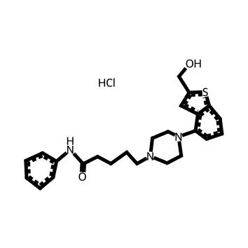 Cl.O=C(CCCCN1CCN(c2cccc3sc(CO)cc23)CC1)Nc1ccccc1